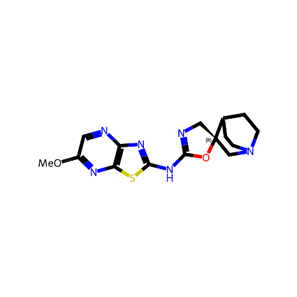 COc1cnc2nc(NC3=NC[C@@]4(CN5CCC4CC5)O3)sc2n1